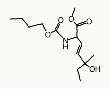 CCCCOC(=O)NC(/C=C/C(C)(O)CC)C(=O)OC